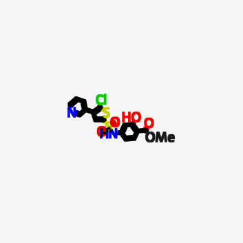 COC(=O)c1ccc(NS(=O)(=O)c2cc(-c3cccnc3)c(Cl)s2)cc1O